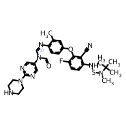 Cc1cc(Oc2c(F)ccc(NSN(C)C(C)(C)C)c2C#N)ccc1/N=C\N(C=O)c1cnc(N2CCNCC2)nc1